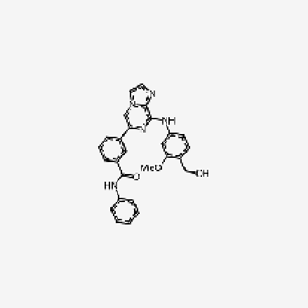 COc1cc(Nc2nc(-c3cccc(C(=O)Nc4ccccc4)c3)cn3ccnc23)ccc1CO